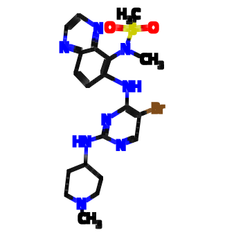 CN1CCC(Nc2ncc(Br)c(Nc3ccc4nccnc4c3N(C)S(C)(=O)=O)n2)CC1